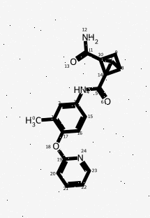 Cc1cc(NC(=O)C2C3CC2(C(N)=O)C3)ccc1Oc1ccccn1